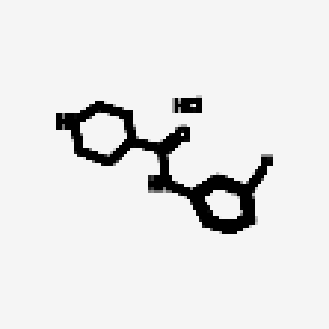 Cl.O=C(Nc1cccc(F)c1)C1CCNCC1